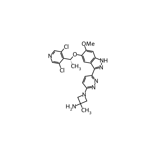 COc1cc2[nH]nc(-c3ccc(N4CC(C)(N)C4)nn3)c2cc1O[C@H](C)c1c(Cl)cncc1Cl